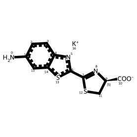 Nc1ccc2nc(C3=N[C@@H](C(=O)[O-])CS3)sc2c1.[K+]